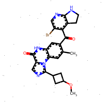 COC1CC(c2ncc3c(=O)[nH]c4cc(C(=O)c5c(Br)cnc6c5CCN6)c(C)cc4n23)C1